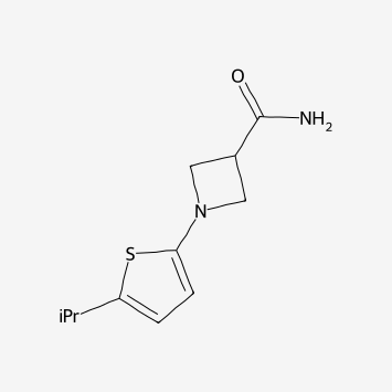 CC(C)c1ccc(N2CC(C(N)=O)C2)s1